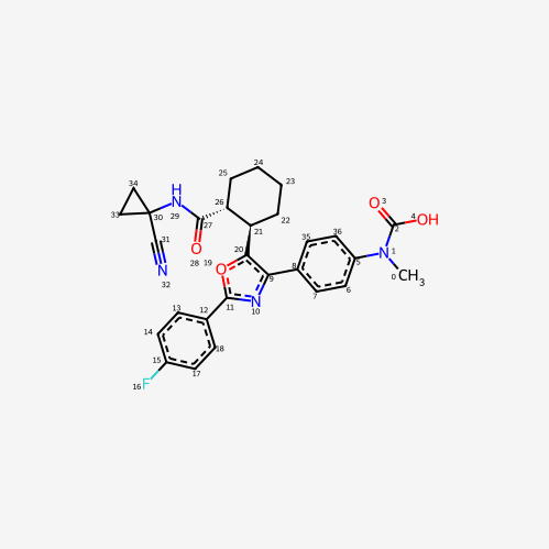 CN(C(=O)O)c1ccc(-c2nc(-c3ccc(F)cc3)oc2[C@@H]2CCCC[C@H]2C(=O)NC2(C#N)CC2)cc1